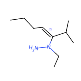 CCC/C=C(/C(C)C)N(N)CC